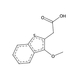 COc1c(CC(=O)O)sc2ccccc12